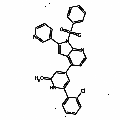 C=C1C=C(c2ccnc3c2cc(-c2cccnc2)n3S(=O)(=O)c2ccccc2)C=C(c2ccccc2Cl)N1